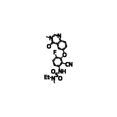 CCN(C)S(=O)(=O)Nc1ccc(F)c(Oc2ccc3ncn(C)c(=O)c3c2)c1C#N